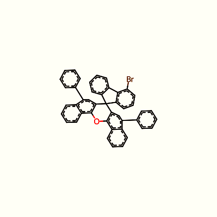 Brc1cccc2c1-c1ccccc1C21c2cc(-c3ccccc3)c3ccccc3c2Oc2c1cc(-c1ccccc1)c1ccccc21